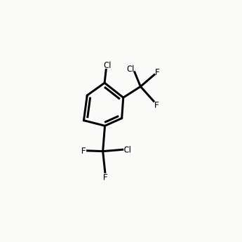 FC(F)(Cl)c1ccc(Cl)c(C(F)(F)Cl)c1